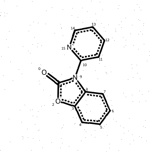 O=c1oc2ccccc2n1-c1ccccn1